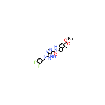 Cc1c(C(=O)OC(C)(C)C)ccc2c1CC[C@@H]2NC(=O)c1ncnc2c(NCc3ccc(F)c(F)c3)n[nH]c12